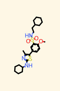 COc1ccc(-c2sc(NC3CCCCC3)nc2C)cc1S(=O)(=O)NCCC1CCCCC1